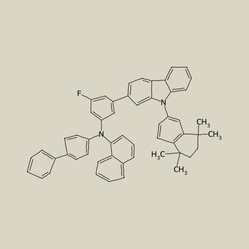 CC1(C)CCC(C)(C)c2cc(-n3c4ccccc4c4ccc(-c5cc(F)cc(N(c6ccc(-c7ccccc7)cc6)c6cccc7ccccc67)c5)cc43)ccc21